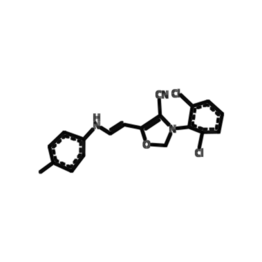 Cc1ccc(NC=CC2=C(C#N)N(c3c(Cl)cccc3Cl)CO2)cc1